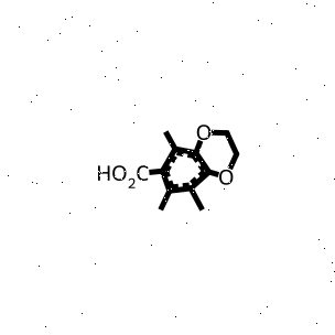 Cc1c(C)c(C(=O)O)c(C)c2c1OCCO2